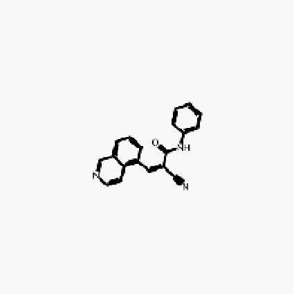 N#CC(=Cc1cccc2cnccc12)C(=O)Nc1ccccc1